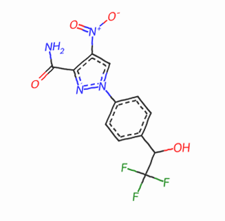 NC(=O)c1nn(-c2ccc(C(O)C(F)(F)F)cc2)cc1[N+](=O)[O-]